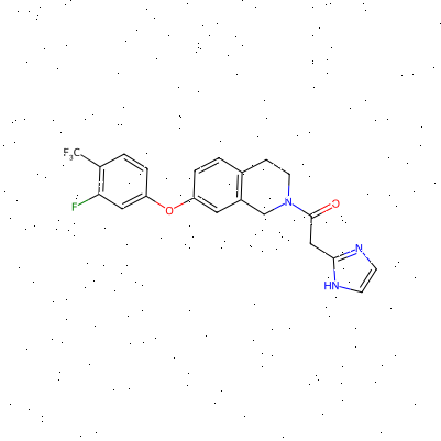 O=C(Cc1ncc[nH]1)N1CCc2ccc(Oc3ccc(C(F)(F)F)c(F)c3)cc2C1